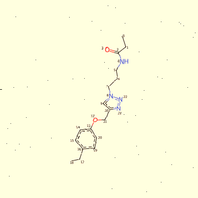 CCC(=O)NCCCn1cc(COc2ccc(CC)cc2)nn1